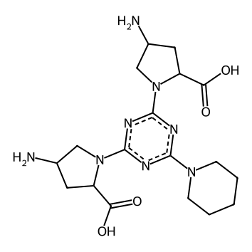 NC1CC(C(=O)O)N(c2nc(N3CCCCC3)nc(N3CC(N)CC3C(=O)O)n2)C1